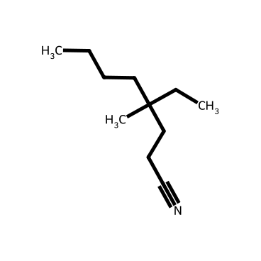 CCCCC(C)(CC)CCC#N